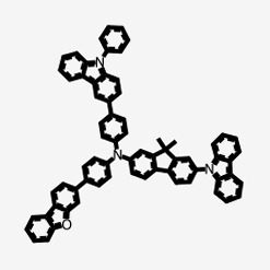 CC1(C)c2cc(N(c3ccc(-c4ccc5c(c4)oc4ccccc45)cc3)c3ccc(-c4ccc5c(c4)c4ccccc4n5-c4ccccc4)cc3)ccc2-c2ccc(-n3c4ccccc4c4ccccc43)cc21